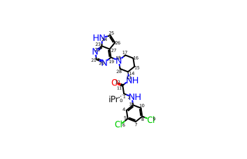 CC(C)[C@@H](Nc1cc(Cl)cc(Cl)c1)C(=O)N[C@@H]1CCCN(c2ncnc3[nH]ccc23)C1